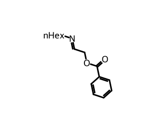 CCCCCCN=CCOC(=O)c1ccccc1